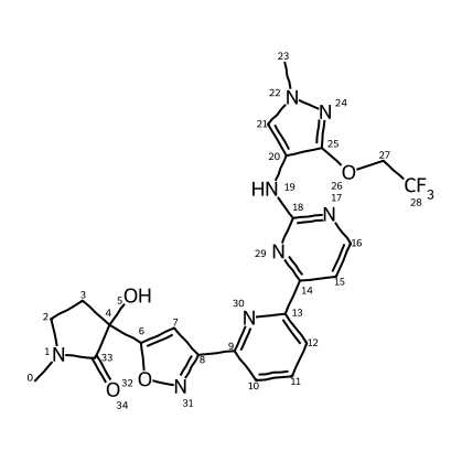 CN1CCC(O)(c2cc(-c3cccc(-c4ccnc(Nc5cn(C)nc5OCC(F)(F)F)n4)n3)no2)C1=O